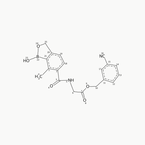 Cc1c(C(=O)NCC(=O)OCc2cccc(C#N)c2)ccc2c1B(O)OC2